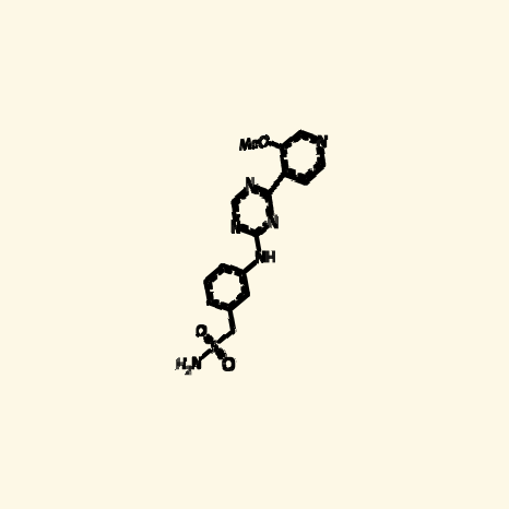 COc1cnccc1-c1ncnc(Nc2cccc(CS(N)(=O)=O)c2)n1